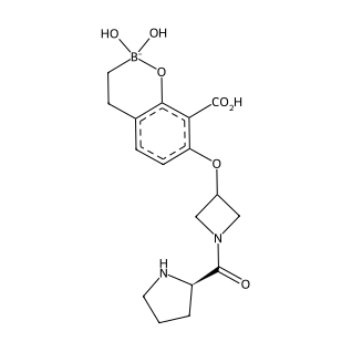 O=C(O)c1c(OC2CN(C(=O)[C@H]3CCCN3)C2)ccc2c1O[B-](O)(O)CC2